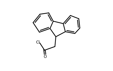 O=C(Cl)CC1c2ccccc2-c2ccccc21